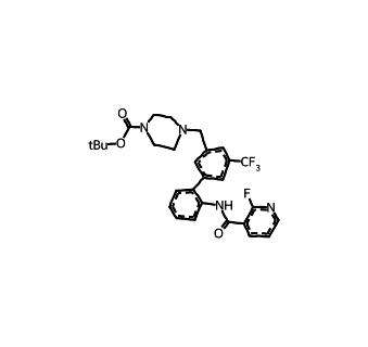 CC(C)(C)OC(=O)N1CCN(Cc2cc(-c3ccccc3NC(=O)c3cccnc3F)cc(C(F)(F)F)c2)CC1